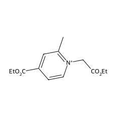 CCOC(=O)C[n+]1ccc(C(=O)OCC)cc1C